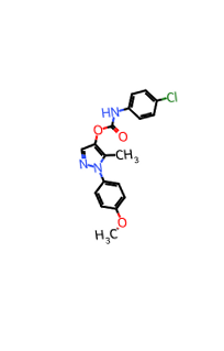 COc1ccc(-n2ncc(OC(=O)Nc3ccc(Cl)cc3)c2C)cc1